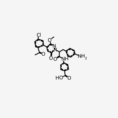 COc1nn(C(Cc2ccc(N)cc2)C(=O)Nc2ccc(C(=O)O)cc2)c(=O)cc1-c1cc(Cl)ccc1C(C)=O